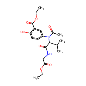 CCOC(=O)CNC(=O)C(C(C)C)N(C(C)=O)c1ccc(O)c(C(=O)OCC)c1